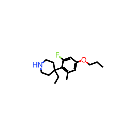 CCCOc1cc(C)c(C2(CC)CCNCC2)c(F)c1